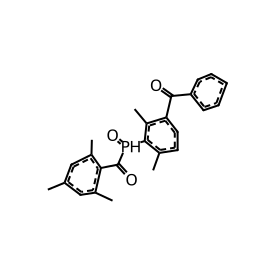 Cc1cc(C)c(C(=O)[PH](=O)c2c(C)ccc(C(=O)c3ccccc3)c2C)c(C)c1